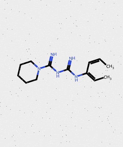 C/C=C\C(=C/C)NC(=N)NC(=N)N1CCCCC1